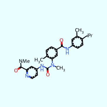 CNC(=O)c1cc(NC(=O)N(C)c2cc(C(=O)Nc3ccc(C(C)C)c(C)c3)ccc2C)ccn1